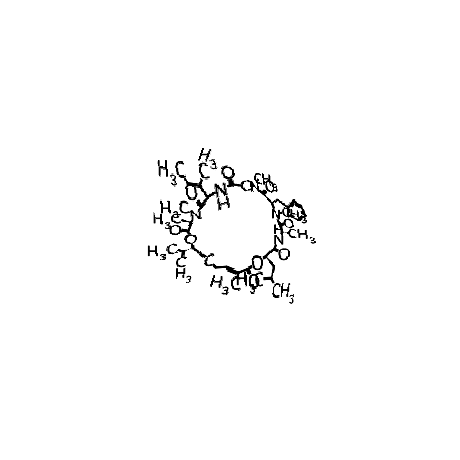 CCC(C)C1NC(=O)CN(C)C(=O)[C@@H](Cc2ccccc2)N(C)C(=O)[C@H](C)NC(=O)[C@@H](CC(C)C)OC(=O)/C(C)=C/CCC[C@H](C(C)C)OC(=O)[C@@H](C)N(C)C1=O